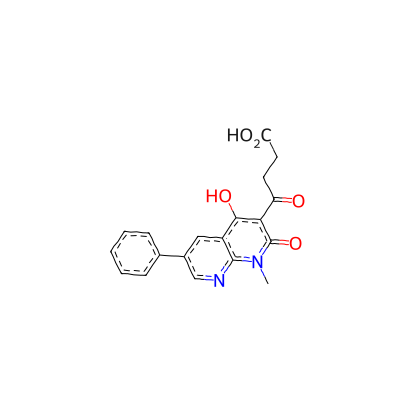 Cn1c(=O)c(C(=O)CCC(=O)O)c(O)c2cc(-c3ccccc3)cnc21